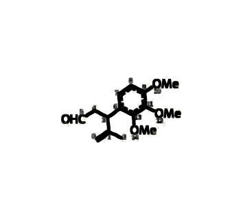 C=C(C)C(CC=O)c1ccc(OC)c(OC)c1OC